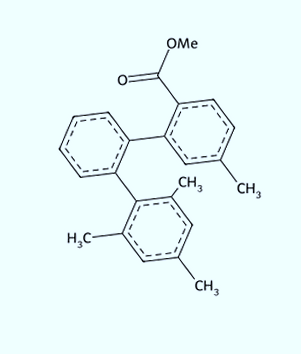 COC(=O)c1ccc(C)cc1-c1ccccc1-c1c(C)cc(C)cc1C